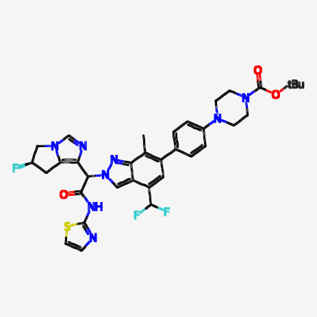 Cc1c(-c2ccc(N3CCN(C(=O)OC(C)(C)C)CC3)cc2)cc(C(F)F)c2cn(C(C(=O)Nc3nccs3)c3ncn4c3C[C@@H](F)C4)nc12